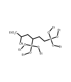 CCOC(=O)C(C#N)CC(CC[Si](OCC)(OCC)OCC)[Si](OCC)(OCC)OCC